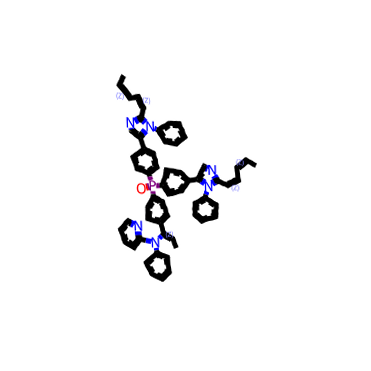 C/C=C\C=C/c1ncc(-c2ccc(P(=O)(c3ccc(/C(=C/C)N(c4ccccc4)c4ccccn4)cc3)c3ccc(-c4cnc(/C=C\C=C/C)n4-c4ccccc4)cc3)cc2)n1-c1ccccc1